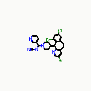 N#CN=C(c1cccnc1)N1CCC(=C2c3ncc(Br)cc3CCc3cc(Cl)cc(Br)c32)CC1